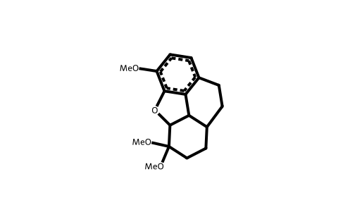 COc1ccc2c3c1OC1C3C(CC2)CCC1(OC)OC